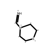 N=[C]N1CCSCC1